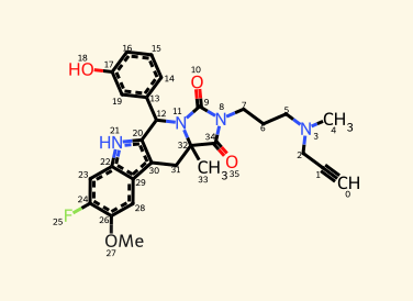 C#CCN(C)CCCN1C(=O)N2C(c3cccc(O)c3)c3[nH]c4cc(F)c(OC)cc4c3CC2(C)C1=O